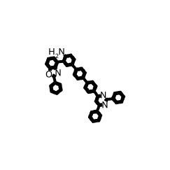 Nc1ccc(-c2ccc(-c3ccc(-c4cc(-c5ccccc5)nc(-c5ccccc5)n4)cc3)cc2)cc1-c1cccc2oc(-c3ccccc3)nc12